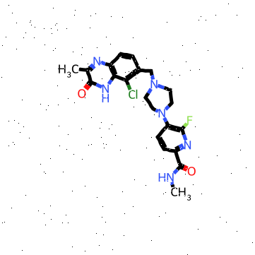 CNC(=O)c1ccc(N2CCN(Cc3ccc4nc(C)c(=O)[nH]c4c3Cl)CC2)c(F)n1